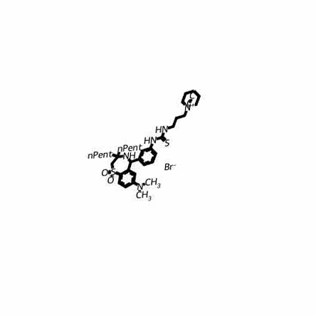 CCCCCC1(CCCCC)CS(=O)(=O)c2ccc(N(C)C)cc2C(c2cccc(NC(=S)NCCC[N+]34CCC(CC3)CC4)c2)N1.[Br-]